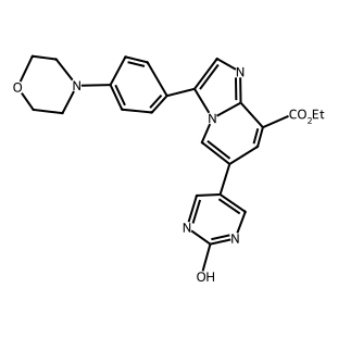 CCOC(=O)c1cc(-c2cnc(O)nc2)cn2c(-c3ccc(N4CCOCC4)cc3)cnc12